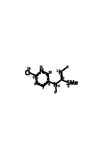 CN=C(SC)N(C)c1ccc(Cl)nc1